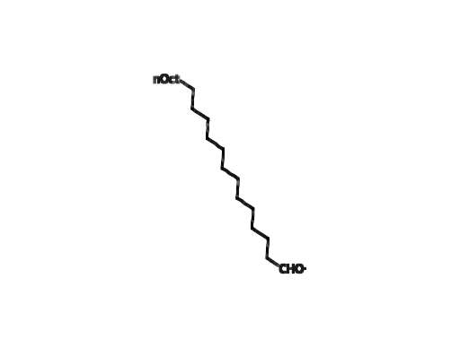 CCCCCCCCCCCCCCCCCCCC[C]=O